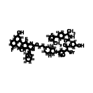 C#Cc1c(F)ccc2cc(O)cc(-c3ncc4c(N5CC6CCC(C5)N6)nc(OCCN5CC[C@H]6CN(c7cc(C(C(=O)N8C[C@H](O)C[C@H]8C(=O)NC(C)c8ccc(-c9scnc9C)cc8)C(C)C)on7)C[C@H]6C5)nc4c3F)c12